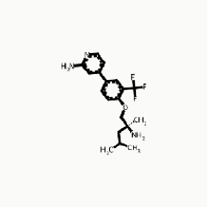 CC(C)C[C@](C)(N)COc1ccc(-c2ccnc(N)c2)cc1C(F)(F)F